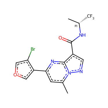 Cc1cc(-c2cocc2Br)nc2c(C(=O)N[C@H](C)C(F)(F)F)cnn12